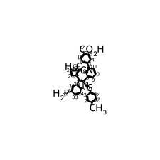 Cc1ccc(Sn2c(-c3cccc(-c4ccc(C(=O)O)cc4C)c3)c(-c3ccsc3C#N)c3cc(P)ccc32)cc1